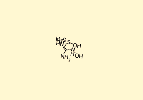 N=C(N)NO.O.O=S(=O)(O)O